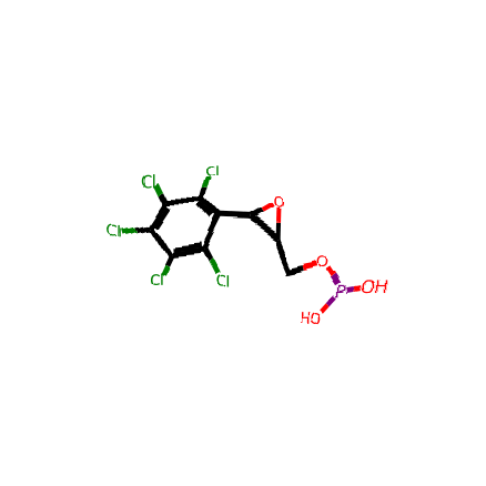 OP(O)OCC1OC1c1c(Cl)c(Cl)c(Cl)c(Cl)c1Cl